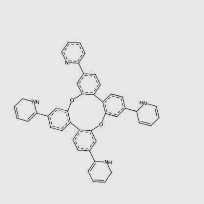 C1=CCNC(c2ccc3c(c2)Oc2cc(-c4ccccn4)ccc2-c2ccc(C4C=CC=CN4)cc2Oc2cc(C4=CC=CCN4)ccc2-3)=C1